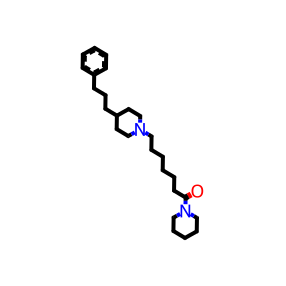 O=C(CCCCCCN1CCC(CCCc2ccccc2)CC1)N1CCCCC1